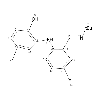 Cc1ccc(O)c(Pc2ccc(F)cc2CNC(C)(C)C)c1